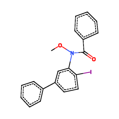 CON(C(=O)c1ccccc1)c1cc(-c2ccccc2)ccc1I